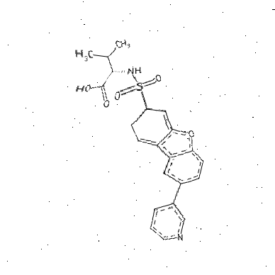 CC(C)[C@H](NS(=O)(=O)C1C=c2oc3ccc(-c4cccnc4)cc3c2=CC1)C(=O)O